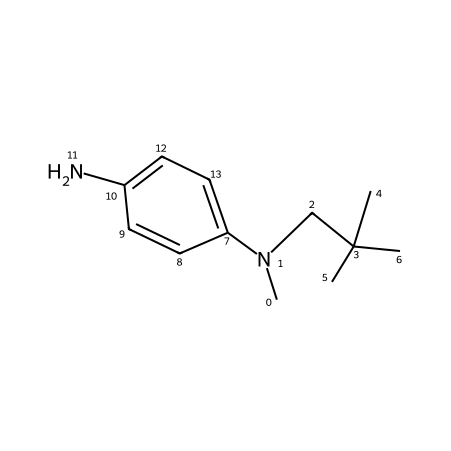 CN(CC(C)(C)C)c1ccc(N)cc1